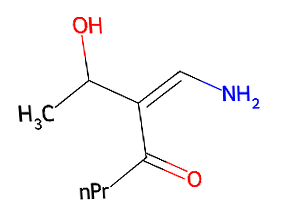 CCCC(=O)/C(=C\N)C(C)O